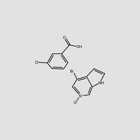 O=C(O)c1cccc(Cl)c1.[O-][n+]1cc(Br)c2cc[nH]c2c1